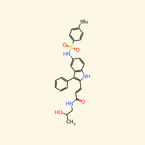 CC(O)CNC(=O)C=Cc1[nH]c2ccc(NS(=O)(=O)c3ccc(C(C)(C)C)cc3)cc2c1-c1ccccc1